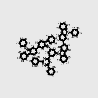 c1ccc(-c2cc(-c3cc(-n4c5ccccc5c5ccc(-c6ccc7c8ccccc8n(-c8ccccc8)c7c6)cc54)cc(-n4c5ccccc5c5ccc(-c6ccc7c8ccccc8n(-c8ccccc8)c7c6)cc54)c3)nc(-c3ccccc3)n2)cc1